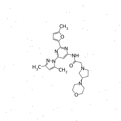 Cc1cc(C)n(-c2cc(NC(=O)CN3CC[C@@H](N4CCOCC4)C3)nc(-c3ccc(C)o3)n2)n1